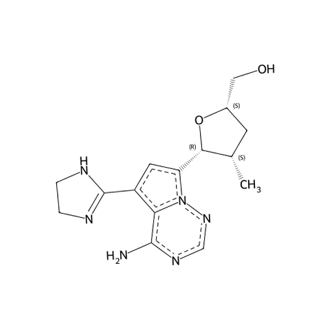 C[C@H]1C[C@@H](CO)O[C@H]1c1cc(C2=NCCN2)c2c(N)ncnn12